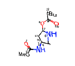 COC(=O)N[C@@H]1CNC(OC(=O)C(C)(C)C)C1